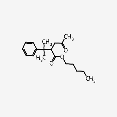 CCCCCOC(=O)C(CC(C)=O)C(C)(C)c1ccccc1